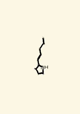 [CH2]CCC=CC1CCCN1